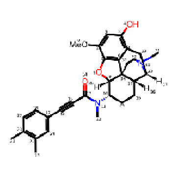 COc1cc(O)c2c3c1O[C@H]1[C@@H](N(C)C(=O)C#Cc4ccc(C)c(C)c4)CC[C@H]4[C@@H](C2)N(C)CC[C@@]341